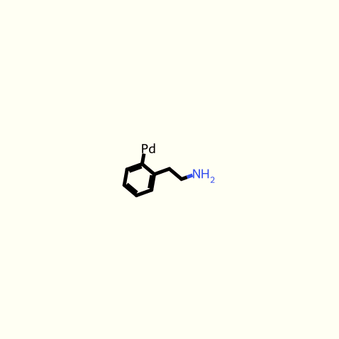 NCCc1cccc[c]1[Pd]